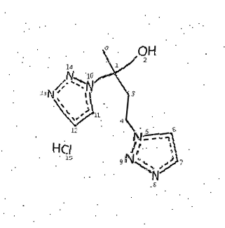 CC(O)(CCn1ccnn1)n1ccnn1.Cl